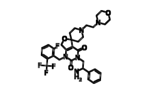 NC(Cn1c(=O)c2c(n(Cc3c(F)cccc3C(F)(F)F)c1=O)COC21CCN(CCN2CCOCC2)CC1)c1ccccc1